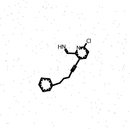 N=Cc1nc(Cl)ccc1C#CCCCc1ccccc1